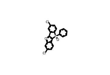 O=P1(c2ccccc2)c2ccc(Cl)cc2-c2oc3cc(Cl)ccc3c21